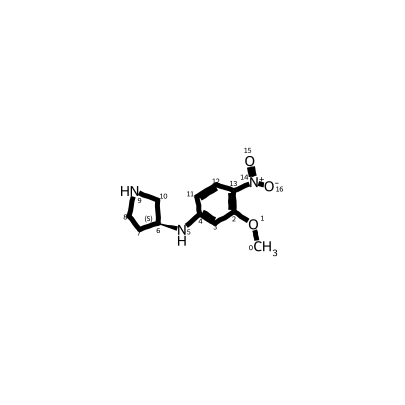 COc1cc(N[C@H]2CCNC2)ccc1[N+](=O)[O-]